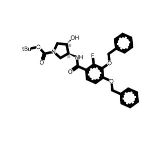 CC(C)(C)OC(=O)N1C[C@H](NC(=O)c2ccc(OCc3ccccc3)c(OCc3ccccc3)c2F)[C@@H](O)C1